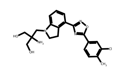 Cc1ccc(-c2nc(-c3cccc4c3CCN4CC(N)(CO)CO)no2)cc1Cl